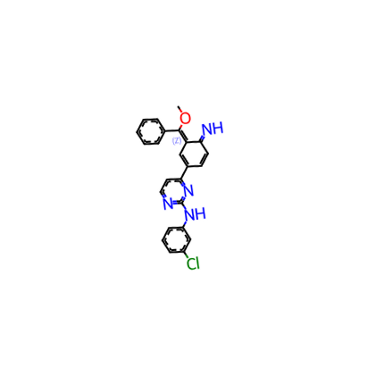 CO/C(=C1/C=C(c2ccnc(Nc3cccc(Cl)c3)n2)C=CC1=N)c1ccccc1